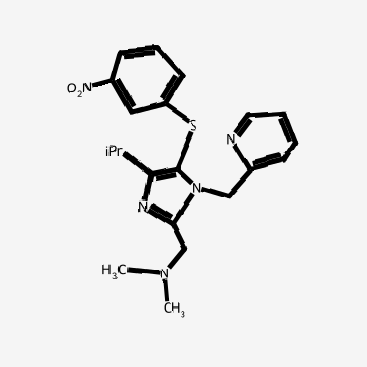 CC(C)c1nc(CN(C)C)n(Cc2ccccn2)c1Sc1cccc([N+](=O)[O-])c1